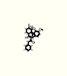 COc1ccc2c3c1O[C@@H]1C(F)CCC4[C@H](C2)N(C(=O)Cc2ccccc2)CCC341